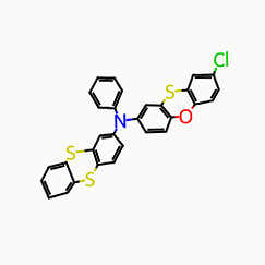 Clc1ccc2c(c1)Sc1cc(N(c3ccccc3)c3ccc4c(c3)Sc3ccccc3S4)ccc1O2